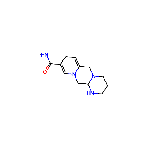 [NH]C(=O)C1=CN2CC3NCCCN3CC2=CC1